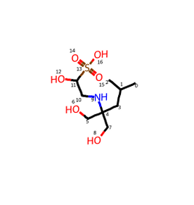 CC(C)CC(CO)(CO)NCC(O)S(=O)(=O)O